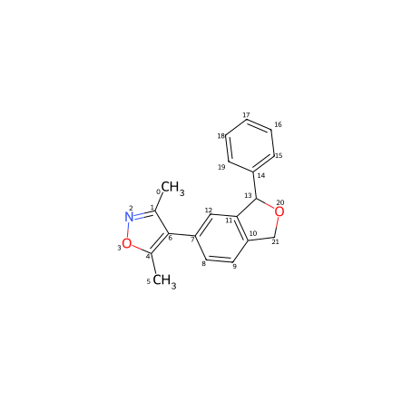 Cc1noc(C)c1-c1ccc2c(c1)C(c1ccccc1)OC2